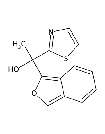 CC(O)(c1nccs1)c1occ2ccccc12